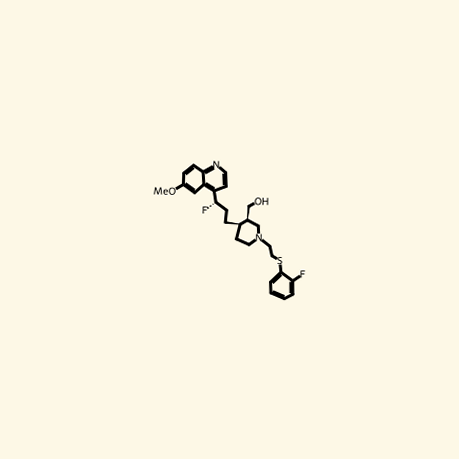 COc1ccc2nccc([C@@H](F)CC[C@@H]3CCN(CCSc4ccccc4F)C[C@@H]3CO)c2c1